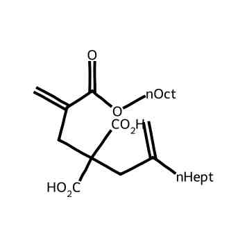 C=C(CCCCCCC)CC(CC(=C)C(=O)OCCCCCCCC)(C(=O)O)C(=O)O